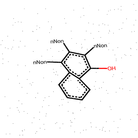 CCCCCCCCCc1c(CCCCCCCCC)c(CCCCCCCCC)c2ccccc2c1O